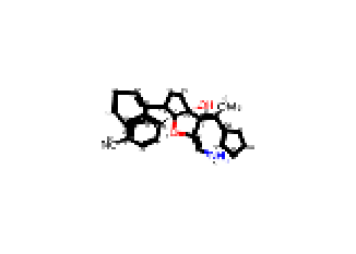 CO/C(=C1/C(=C\N)O[C@@]2(c3ccc(C#N)cc3)C(c3ccccc3)CC[C@@]12O)C1CCCC1